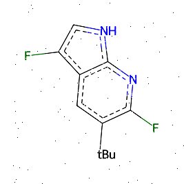 CC(C)(C)c1cc2c(F)c[nH]c2nc1F